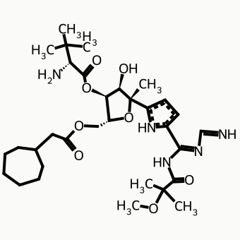 COC(C)(C)C(=O)N/C(=N/C=N)c1ccc([C@]2(C)O[C@H](COC(=O)CC3CCCCCC3)[C@@H](OC(=O)[C@H](N)C(C)(C)C)[C@H]2O)[nH]1